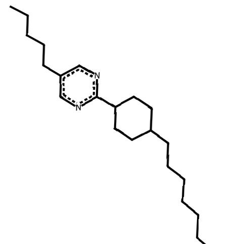 CCCCCCCC1CCC(c2ncc(CCCCC)cn2)CC1